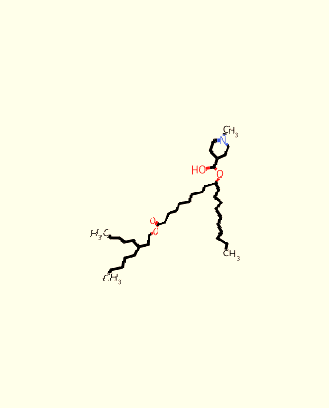 CCCCCCCCCCC(CCCCCCCCC(=O)OCCC(CCCCC)CCCCC)OC(O)C1CCN(C)CC1